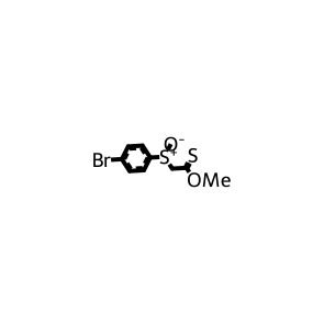 COC(=S)C[S+]([O-])c1ccc(Br)cc1